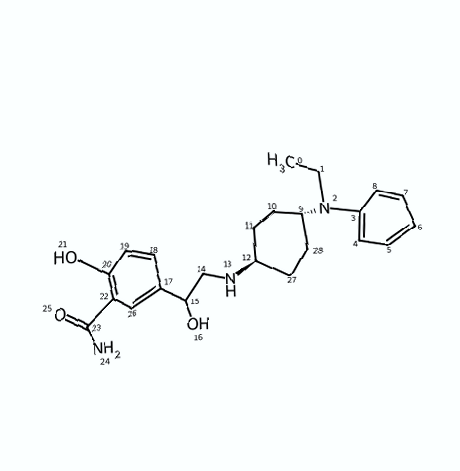 CCN(c1ccccc1)[C@H]1CC[C@H](NCC(O)c2ccc(O)c(C(N)=O)c2)CC1